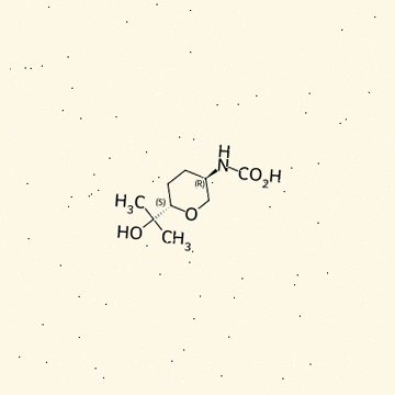 CC(C)(O)[C@@H]1CC[C@@H](NC(=O)O)CO1